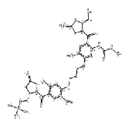 C=C1C[C@@H](CO[Si](C)(C)C(C)(C)C)N(C(=O)c2cc(OC)c(OCCCOc3cc(NC(=O)OC(C)(C)C)c(C(=O)N4CC(=C)C[C@H]4CO)cc3OC)cc2N)C1